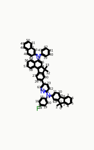 CC1(C)c2ccccc2-c2ccc(N(c3ccc(F)cc3)c3ccc(-c4ccc5c(c4)C(C)(C)c4cc(N(c6ccccc6)c6ccc7ccccc7c6)c6ccccc6c4-5)cn3)cc21